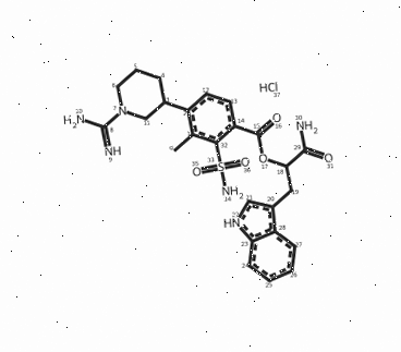 Cc1c(C2CCCN(C(=N)N)C2)ccc(C(=O)OC(Cc2c[nH]c3ccccc23)C(N)=O)c1S(N)(=O)=O.Cl